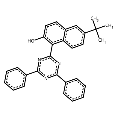 CC(C)(C)c1ccc2c(-c3nc(-c4ccccc4)nc(-c4ccccc4)n3)c(O)ccc2c1